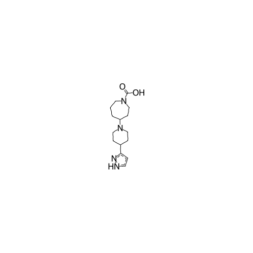 O=C(O)N1CCCC(N2CCC(c3cc[nH]n3)CC2)CC1